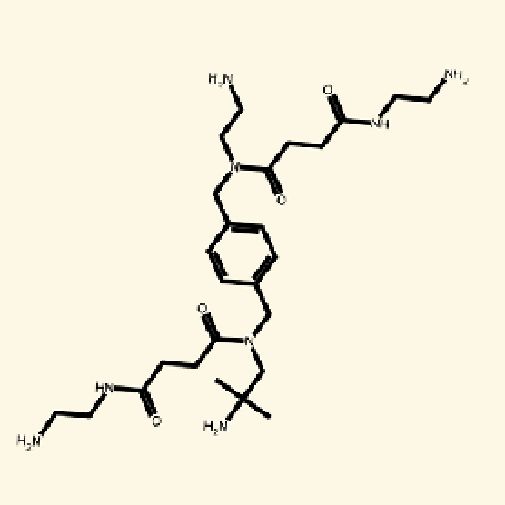 CC(C)(N)CN(Cc1ccc(CN(CCN)C(=O)CCC(=O)NCCN)cc1)C(=O)CCC(=O)NCCN